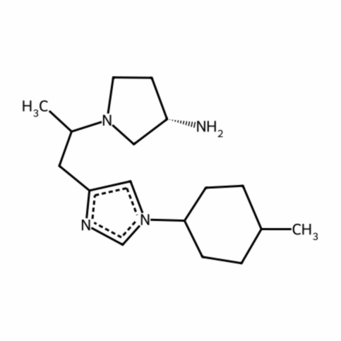 CC1CCC(n2cnc(CC(C)N3CC[C@H](N)C3)c2)CC1